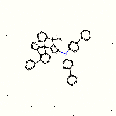 CC1(C)c2ccccc2C2(c3ccccc3-c3c(-c4ccccc4)cccc32)c2ccc(N(c3ccc(-c4ccccc4)cc3)c3ccc(-c4ccccc4)cc3)cc21